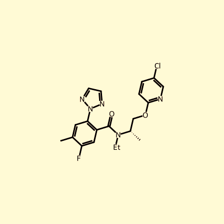 CCN(C(=O)c1cc(F)c(C)cc1-n1nccn1)[C@@H](C)COc1ccc(Cl)cn1